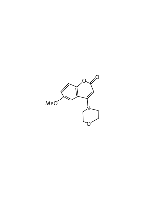 COc1ccc2oc(=O)cc(N3CCOCC3)c2c1